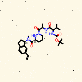 C=Cc1ccc2c(c1)[C@H](N(C)C(=O)[C@@H]1CCCN(C(=O)C(C)NC(=O)C(NC(=O)OC(C)(C)C)C(C)C)N1)CC2